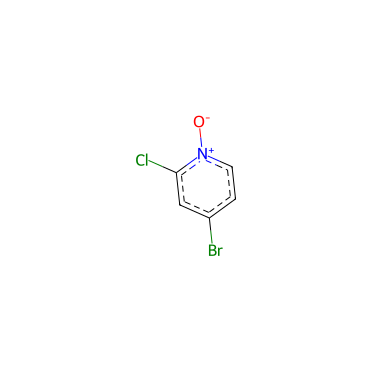 [O-][n+]1ccc(Br)cc1Cl